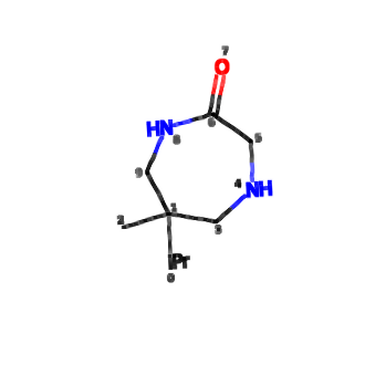 CC(C)C1(C)CNCC(=O)NC1